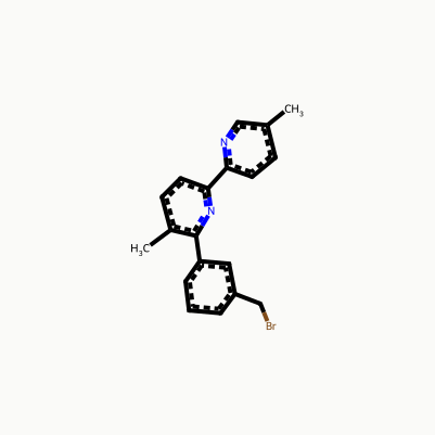 Cc1ccc(-c2ccc(C)c(-c3cccc(CBr)c3)n2)nc1